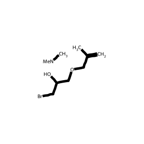 C=C(C)COCC(O)CBr.CNC